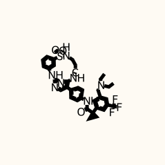 CCN(CC)Cc1cc(C(F)(F)F)cc(C2(C(=O)Nc3ccc(-c4cnc5nc4NCCCNS(=O)(=O)c4cccc(c4)N5)cc3)CC2)c1